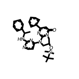 CC(Nc1nccc(N2CC(O[Si](C)(C)C(C)(C)C)Cn3c2nc(-c2ccccc2)cc3=O)n1)c1ccccc1